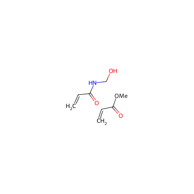 C=CC(=O)NCO.C=CC(=O)OC